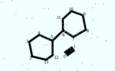 C#C.C1CCC(C2CCCCC2)CC1